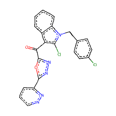 O=C(c1nnc(-c2cccnn2)o1)c1c(Cl)n(Cc2ccc(Cl)cc2)c2ccccc12